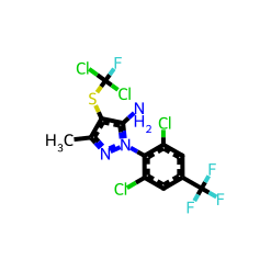 Cc1nn(-c2c(Cl)cc(C(F)(F)F)cc2Cl)c(N)c1SC(F)(Cl)Cl